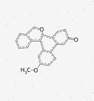 COc1ccc2c3cc(=O)ccc3c3occ4ccccc4c3c2c1